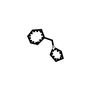 c1ccc(Cp2cccc2)cc1